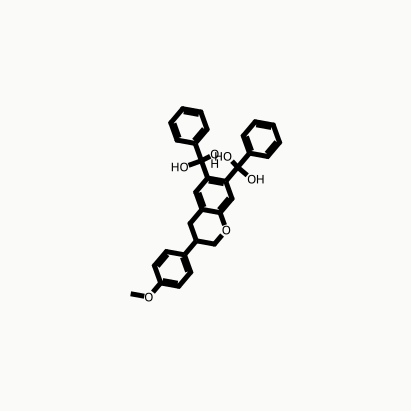 COc1ccc(C2COc3cc(C(O)(O)c4ccccc4)c(C(O)(O)c4ccccc4)cc3C2)cc1